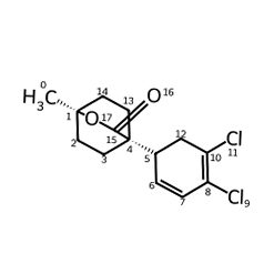 C[C@]12CC[C@](C3C=CC(Cl)=C(Cl)C3)(CC1)C(=O)O2